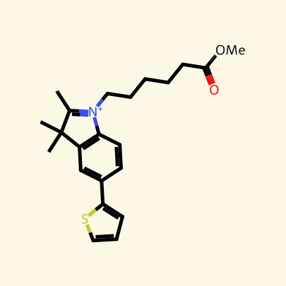 COC(=O)CCCCC[N+]1=C(C)C(C)(C)c2cc(-c3cccs3)ccc21